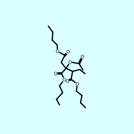 CCCCOC(=O)CC(OC(C)=O)(C(=O)OCCCC)C(CC)C(=O)OCCCC